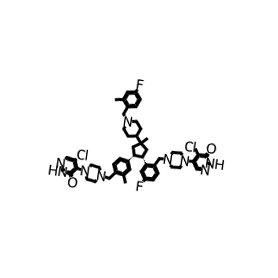 Cc1cc(F)ccc1CN1CCC(C2(C)C[C@H](c3cc(F)ccc3CN3CCN(c4cn[nH]c(=O)c4Cl)CC3)[C@H](c3ccc(CN4CCN(c5c(Cl)cn[nH]c5=O)CC4)c(C)c3)C2)CC1